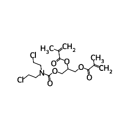 C=C(C)C(=O)OCC(COC(=O)N(CCCl)CCCl)OC(=O)C(=C)C